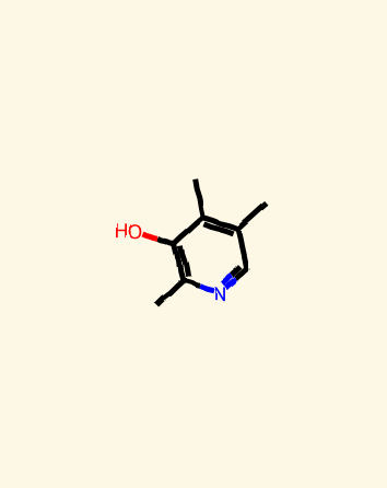 Cc1cnc(C)c(O)c1C